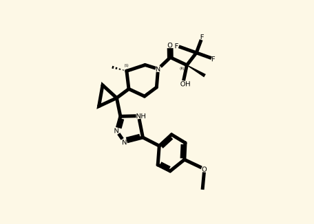 COc1ccc(-c2nnc(C3(C4CCN(C(=O)[C@@](C)(O)C(F)(F)F)C[C@H]4C)CC3)[nH]2)cc1